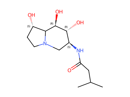 CC(C)CC(=O)N[C@H]1CN2CC[C@H](O)C2[C@@H](O)[C@@H]1O